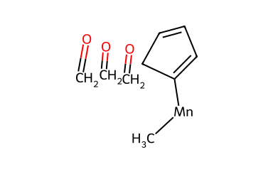 C=O.C=O.C=O.[CH3][Mn][C]1=CC=CC1